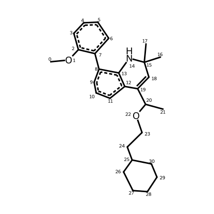 COc1ccccc1-c1cccc2c1NC(C)(C)C=C2C(C)OCCC1CCCCC1